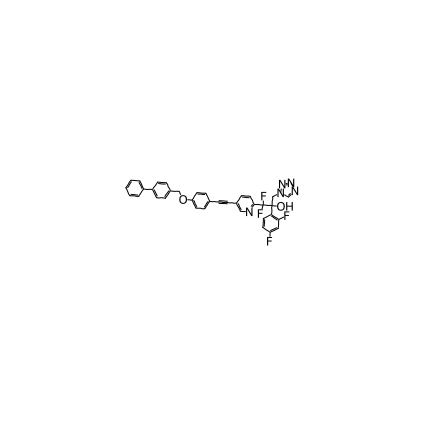 OC(Cn1cnnn1)(c1ccc(F)cc1F)C(F)(F)c1ccc(C#Cc2ccc(OCc3ccc(-c4ccccc4)cc3)cc2)cn1